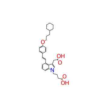 O=C(O)CCCn1cc(CC(=O)O)c2c(/C=C/c3ccc(OCCCC4CCCCC4)cc3)cccc21